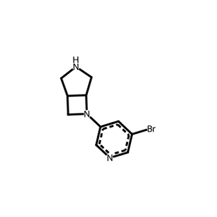 Brc1cncc(N2CC3CNCC32)c1